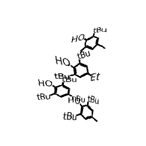 CCCCc1cc(C(C)(C)C)c(O)c(C(C)(C)C)c1.CCc1cc(C(C)(C)C)c(O)c(C(C)(C)C)c1.Cc1cc(C(C)(C)C)c(O)c(C(C)(C)C)c1.Cc1cc(C)c(O)c(C(C)(C)C)c1